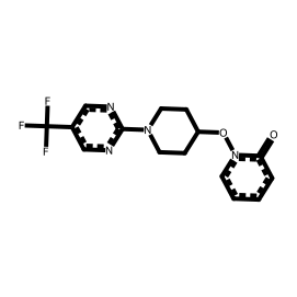 O=c1ccccn1OC1CCN(c2ncc(C(F)(F)F)cn2)CC1